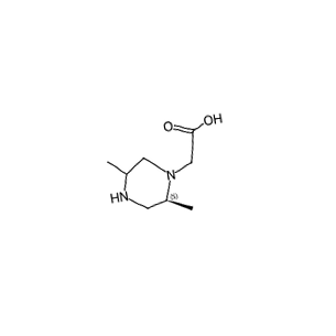 CC1CN(CC(=O)O)[C@@H](C)CN1